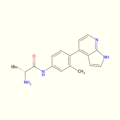 Cc1cc(NC(=O)[C@H](N)C(C)(C)C)ccc1-c1ccnc2[nH]ccc12